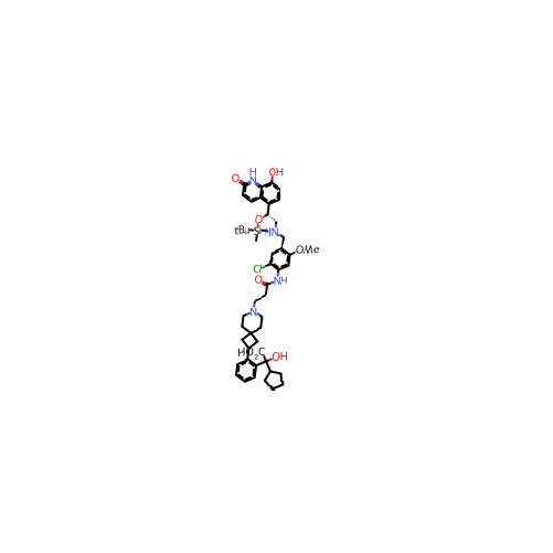 COc1cc(NC(=O)CCN2CCC3(CC2)CC(c2ccccc2C(O)(C(=O)O)C2CCCC2)C3)c(Cl)cc1CNC[C@H](O[Si](C)(C)C(C)(C)C)c1ccc(O)c2[nH]c(=O)ccc12